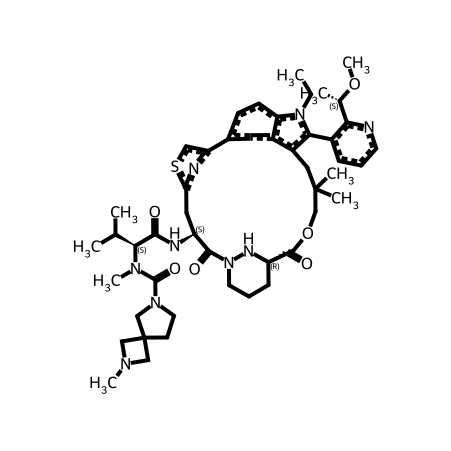 CCn1c(-c2cccnc2[C@H](C)OC)c2c3cc(ccc31)-c1csc(n1)C[C@H](NC(=O)[C@H](C(C)C)N(C)C(=O)N1CCC3(CN(C)C3)C1)C(=O)N1CCC[C@](C=O)(COCC(C)(C)C2)N1